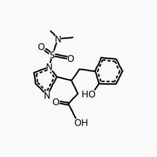 CN(C)S(=O)(=O)n1ccnc1C(CC(=O)O)Cc1ccccc1O